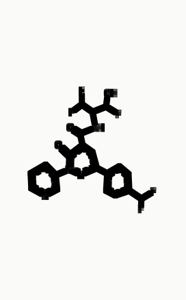 O=C(NC(C(O)F)C(F)F)c1cc(-c2ccc(C(F)F)cc2)nn(-c2cccnc2)c1=O